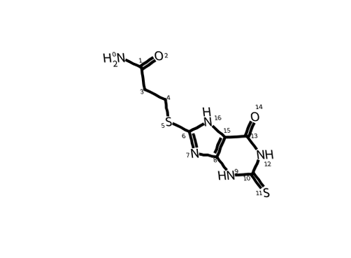 NC(=O)CCSc1nc2[nH]c(=S)[nH]c(=O)c2[nH]1